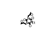 CCn1c(=O)n(CC2CO2)c(=O)n(CC2CO2)c1=O